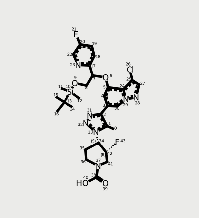 Cc1c(-c2cc(OC(CO[Si](C)(C)C(C)(C)C)c3ccc(F)cn3)c3c(Cl)cnn3c2)nnn1[C@H]1CCN(C(=O)O)C[C@H]1F